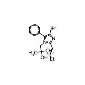 CCOCc1nc(C(C)C)c(-c2ccccc2)n1CC(C)(C)O